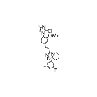 COc1cc(/C=C/C2=NOC3(c4cc(C)cc(F)c4)CCCCN23)ccc1-n1cc(C)nc1Cl